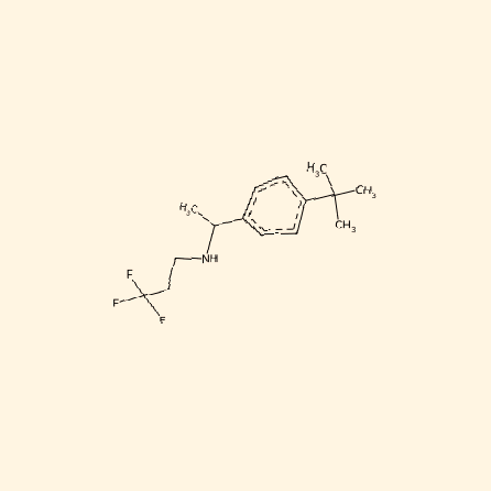 CC(NCCC(F)(F)F)c1ccc(C(C)(C)C)cc1